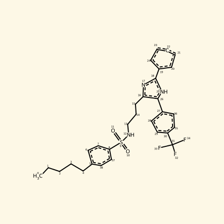 CCCCCc1ccc(S(=O)(=O)NCCCc2nc(-c3ccccc3)[nH]c2-c2ccc(C(F)(F)F)cc2)cc1